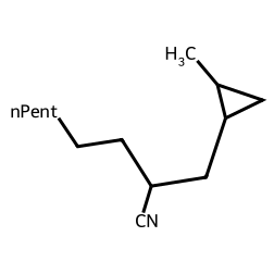 CCCCCCCC(C#N)CC1CC1C